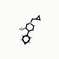 S[C@H]1CN(CC2CC2)CCC1c1ccccc1